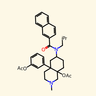 CC(=O)Oc1cccc(C23CCN(C)CC2(OC(C)=O)CCC(N(CC(C)C)C(=O)c2ccc4ccccc4c2)C3)c1